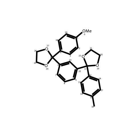 COc1ccc(C2(c3cccc(C4(c5ccc(C)cc5)OCCO4)c3)OCCO2)cc1